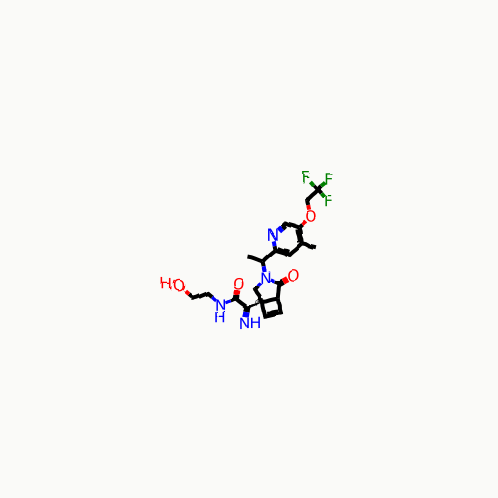 Cc1cc(C(C)N2C[C@@]3(C(=N)C(=O)NCCO)C=CC3C2=O)ncc1OCC(F)(F)F